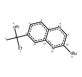 CCCC(C)(CC)c1ccc2ncc(C(C)(C)C)nc2c1